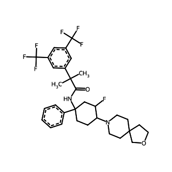 CC(C)(C(=O)NC1(c2ccccc2)CCC(N2CCC3(CCOC3)CC2)C(F)C1)c1cc(C(F)(F)F)cc(C(F)(F)F)c1